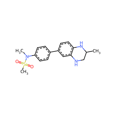 CC1CNc2cc(-c3ccc(N(C)S(C)(=O)=O)cc3)ccc2N1